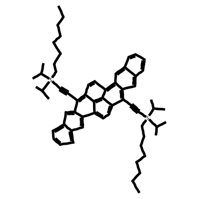 CCCCCCCCS(C#Cc1c2cc3ccccc3cc2c2ccc3c(C#CS(CCCCCCCC)(C(C)C)C(C)C)c4cc5ccccc5cc4c4ccc1c2c34)(C(C)C)C(C)C